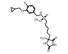 C[C@@H](NS(=O)(=O)CCCCCC1(C)NC(=O)NC1=O)c1ccc(F)c(OCC2CC2)c1